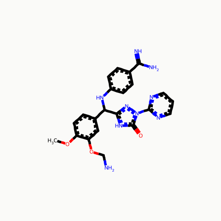 COc1ccc(C(Nc2ccc(C(=N)N)cc2)c2nn(-c3ncccn3)c(=O)[nH]2)cc1OCN